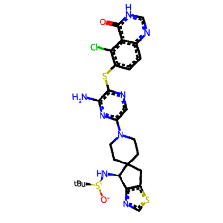 CC(C)(C)[S@+]([O-])N[C@@H]1c2ncsc2CC12CCN(c1cnc(Sc3ccc4nc[nH]c(=O)c4c3Cl)c(N)n1)CC2